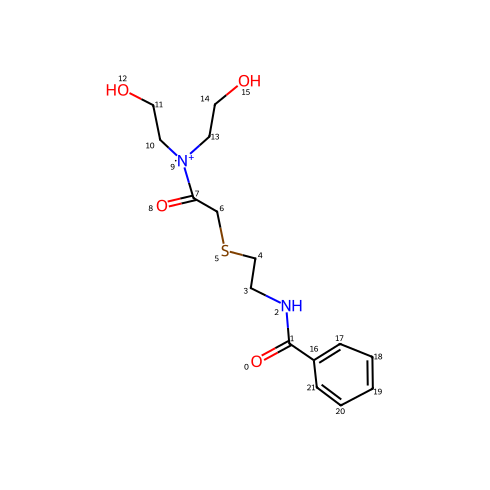 O=C(NCCSCC(=O)[N+](CCO)CCO)c1ccccc1